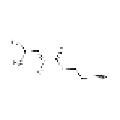 CC(C)C=[N+]([O-])C(=O)CCCC#N